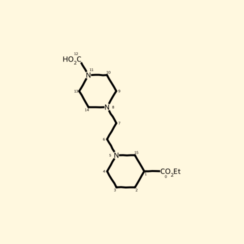 CCOC(=O)C1CCCN(CCN2CCN(C(=O)O)CC2)C1